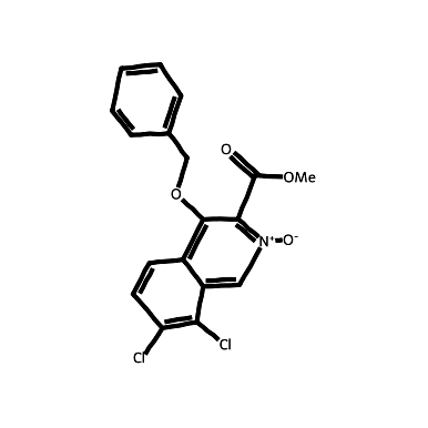 COC(=O)c1c(OCc2ccccc2)c2ccc(Cl)c(Cl)c2c[n+]1[O-]